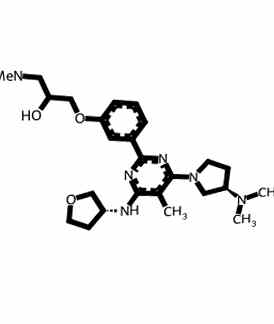 CNCC(O)COc1cccc(-c2nc(N[C@@H]3CCOC3)c(C)c(N3CC[C@@H](N(C)C)C3)n2)c1